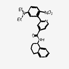 CCN(CC)c1ccc([N+](=O)[O-])c(-c2cc(C(=O)NC3CCCc4ccccc43)ccn2)c1